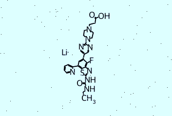 CCNC(=O)Nc1nc2c(F)c(-c3cnc(N4CCN(CCC(=O)O)CC4)nc3)cc(-c3ccccn3)c2s1.[Li]